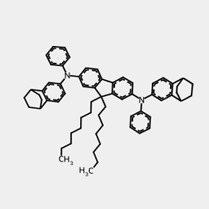 CCCCCCCCC1(CCCCCCCC)c2cc(N(c3ccccc3)c3ccc4c(c3)C3CCC4CC3)ccc2-c2ccc(N(c3ccccc3)c3ccc4c(c3)C3CCC4CC3)cc21